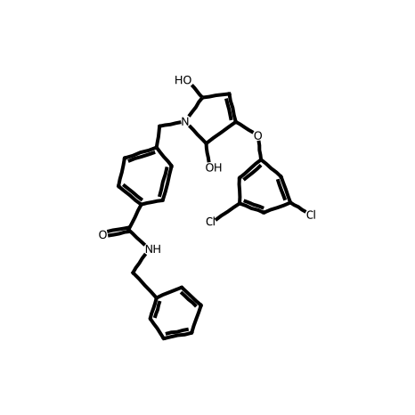 O=C(NCc1ccccc1)c1ccc(CN2C(O)C=C(Oc3cc(Cl)cc(Cl)c3)C2O)cc1